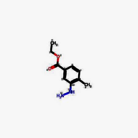 CCOC(=O)c1ccc(C)c(NN)c1